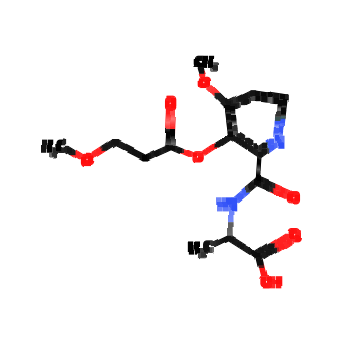 COCCC(=O)Oc1c(OC)ccnc1C(=O)NC(C)C(=O)O